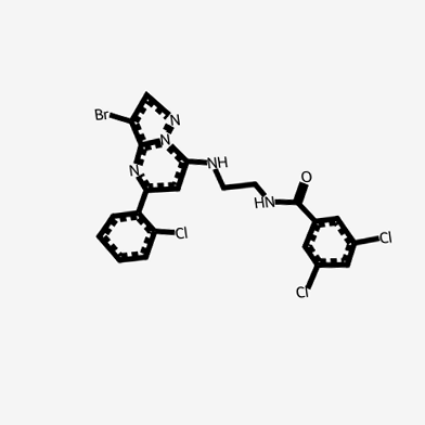 O=C(NCCNc1cc(-c2ccccc2Cl)nc2c(Br)cnn12)c1cc(Cl)cc(Cl)c1